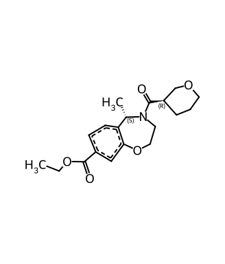 CCOC(=O)c1ccc2c(c1)OCCN(C(=O)[C@@H]1CCCOC1)[C@H]2C